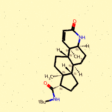 CC(C)(C)NC(=O)[C@H]1CC[C@H]2[C@@H]3CC[C@@H]4NC(=O)C=C[C@]4(C)[C@H]3CC[C@]12C